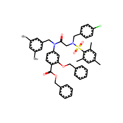 Cc1cc(C)c(S(=O)(=O)N(CC(=O)N(Cc2cc(C(C)(C)C)cc(C(C)(C)C)c2)c2ccc(C(=O)OCc3ccccc3)c(OCc3ccccc3)c2)Cc2ccc(Cl)cc2)c(C)c1